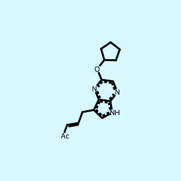 CC(=O)C=CCc1c[nH]c2ncc(OC3CCCC3)nc12